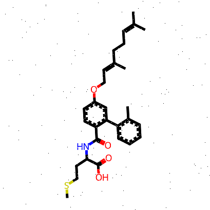 CSCCC(NC(=O)c1ccc(OC/C=C(\C)CCC=C(C)C)cc1-c1ccccc1C)C(=O)O